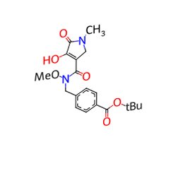 CON(Cc1ccc(C(=O)OC(C)(C)C)cc1)C(=O)C1=C(O)C(=O)N(C)C1